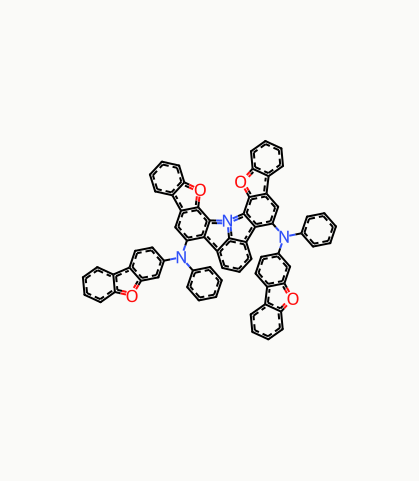 c1ccc(N(c2ccc3c(c2)oc2ccccc23)c2cc3c4ccccc4oc3c3c2c2cccc4c5c(N(c6ccccc6)c6ccc7c(c6)oc6ccccc67)cc6c7ccccc7oc6c5n3c24)cc1